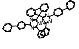 c1ccc(-c2ccc(-c3nc(-c4ccccc4)nc(C4(c5nc(-c6ccccc6)nc(-c6ccc(-c7ccccc7)cc6)n5)c5ccccc5-c5ccccc54)n3)cc2)cc1